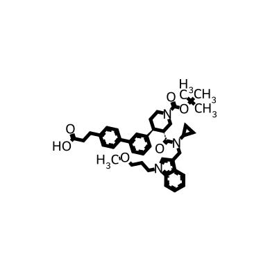 COCCCn1cc(CN(C(=O)[C@H]2CN(C(=O)OC(C)(C)C)CC[C@@H]2c2cccc(-c3ccc(CCC(=O)O)cc3)c2)C2CC2)c2ccccc21